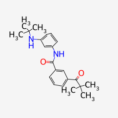 CC(C)(C)Nc1cccc(NC(=O)c2cccc(C(=O)C(C)(C)C)c2)c1